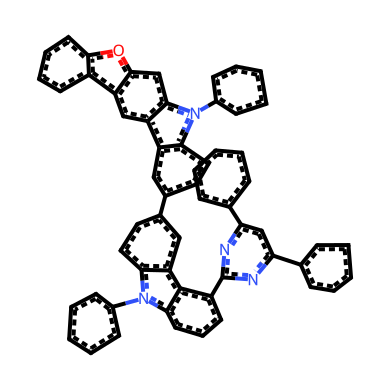 c1ccc(-c2cc(-c3ccccc3)nc(-c3cccc4c3c3cc(-c5ccc6c(c5)c5cc7c(cc5n6-c5ccccc5)oc5ccccc57)ccc3n4-c3ccccc3)n2)cc1